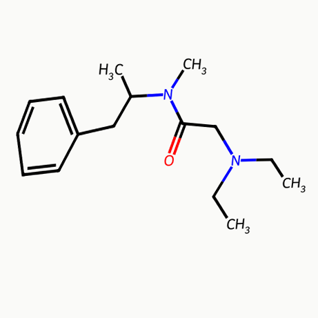 CCN(CC)CC(=O)N(C)C(C)Cc1ccccc1